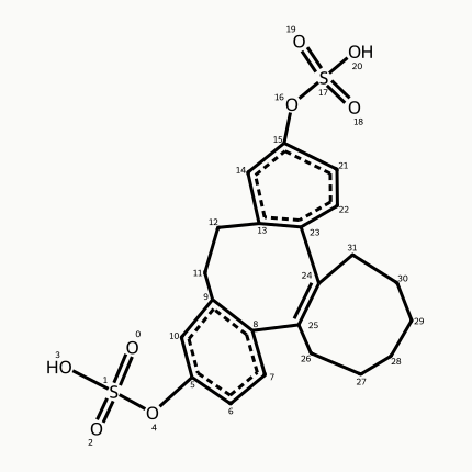 O=S(=O)(O)Oc1ccc2c(c1)CCc1cc(OS(=O)(=O)O)ccc1/C1=C\2CCCCCC1